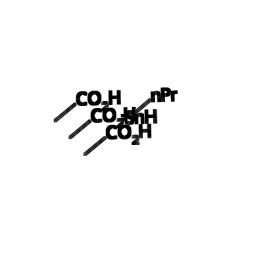 CC(=O)O.CC(=O)O.CC(=O)O.CC[CH2][SnH]